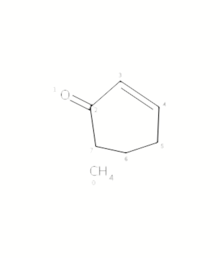 C.O=C1C=CCCC1